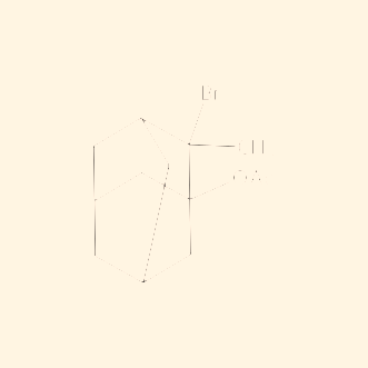 CC(=O)OC12CC3CC(CC(C3)C1(C)Br)C2